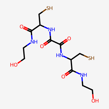 O=C(NC(CS)C(=O)NCCO)C(=O)NC(CS)C(=O)NCCO